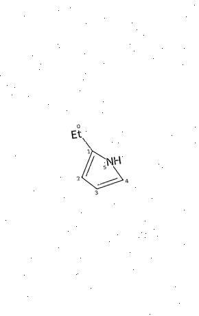 [CH]Cc1ccc[nH]1